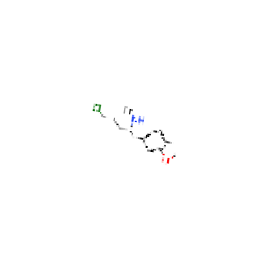 CCNC(CCCCl)Cc1ccc2ccoc2c1